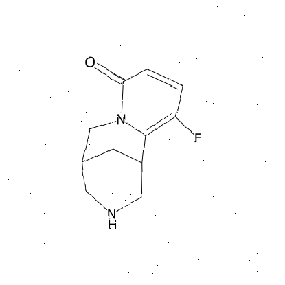 O=c1ccc(F)c2n1CC1CNCC2C1